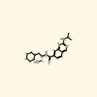 CC(C)Nc1ncc2ccc(C(=O)N[C@H](CO)CC3CCCCC3)cc2n1